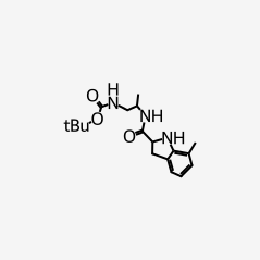 Cc1cccc2c1NC(C(=O)NC(C)CNC(=O)OC(C)(C)C)C2